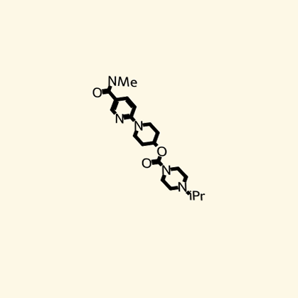 CNC(=O)c1ccc(N2CCC(OC(=O)N3CCN(C(C)C)CC3)CC2)nc1